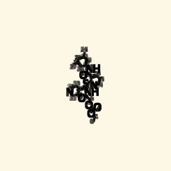 CCOC(=O)OCC(=O)NC(Sc1ncccc1C(=O)Nc1cc(C)cc(C)c1)c1ccncc1